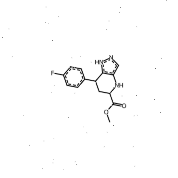 COC(=O)C1CC(c2ccc(F)cc2)c2[nH]ncc2N1